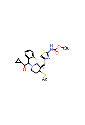 CC(=O)SC1CCN(C(C(=O)C2CC2)c2ccccc2F)C/C1=C\c1csc(NC(=O)OC(C)(C)C)n1